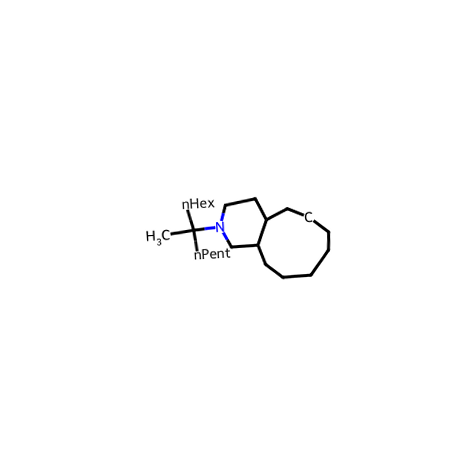 CCCCCCC(C)(CCCCC)N1CCC2CCCCCCCC2C1